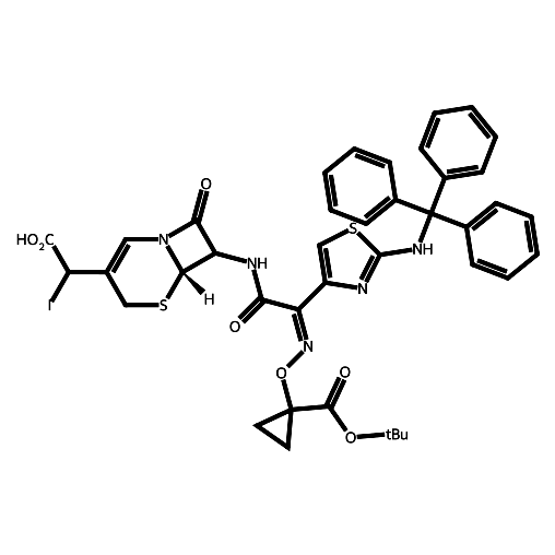 CC(C)(C)OC(=O)C1(O/N=C(\C(=O)NC2C(=O)N3C=C(C(I)C(=O)O)CS[C@@H]23)c2csc(NC(c3ccccc3)(c3ccccc3)c3ccccc3)n2)CC1